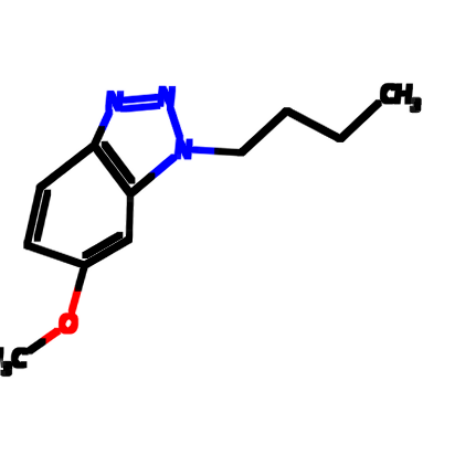 CCCCn1nnc2ccc(OC)cc21